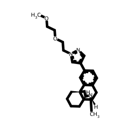 COCCOCCn1cc(-c2ccc3c(c2)[C@@]24CCCC[C@H]2[C@@H](C3)N(C)CC4)cn1